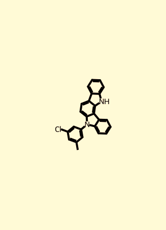 Cc1cc(Cl)cc(-n2c3ccccc3c3c4[nH]c5ccccc5c4ccc32)c1